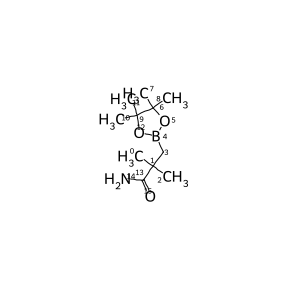 CC(C)(CB1OC(C)(C)C(C)(C)O1)C(N)=O